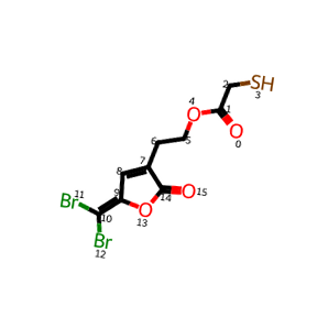 O=C(CS)OCCC1=CC(=C(Br)Br)OC1=O